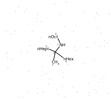 CCCCCCCCNC(C)(CCCCCC)CCCCCCC